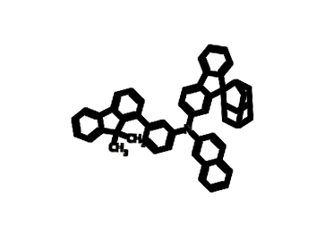 CC1(C)c2ccccc2-c2cccc(-c3cccc(N(c4ccc5c(c4)C4(c6ccccc6-5)C5CC6CC(C5)CC4C6)c4ccc5ccccc5c4)c3)c21